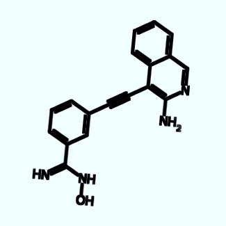 N=C(NO)c1cccc(C#Cc2c(N)ncc3ccccc23)c1